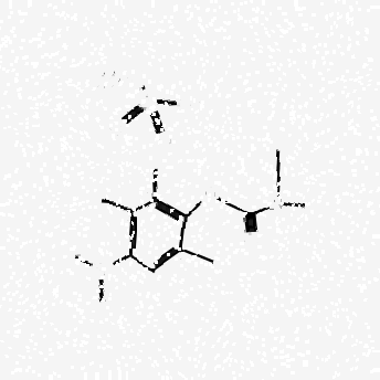 COS(=O)(=O)[O-].Cc1cc([S+](C)C)c(C)c(C)c1OC(=O)N(C)C